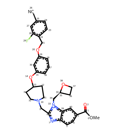 COC(=O)c1ccc2nc(CN3CCC(Oc4cccc(OCc5ccc(C#N)cc5F)c4)CC3)n(C[C@@H]3CCO3)c2c1